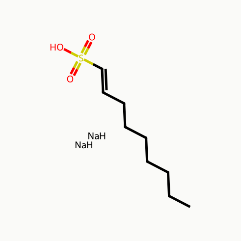 CCCCCCCC=CS(=O)(=O)O.[NaH].[NaH]